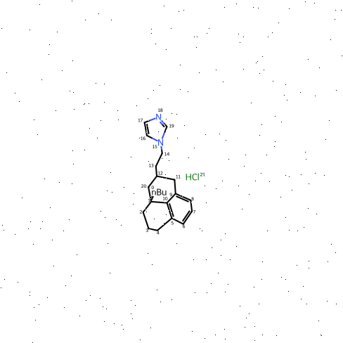 CCCC[C@]12CCCc3cccc(c31)CC(CCn1ccnc1)C2.Cl